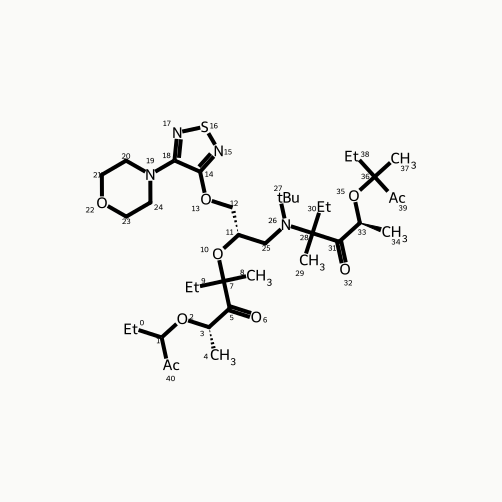 CCC(O[C@@H](C)C(=O)C(C)(CC)O[C@H](COc1nsnc1N1CCOCC1)CN(C(C)(C)C)C(C)(CC)C(=O)[C@H](C)OC(C)(CC)C(C)=O)C(C)=O